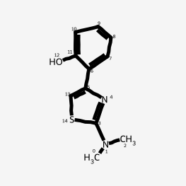 CN(C)c1nc(-c2ccccc2O)cs1